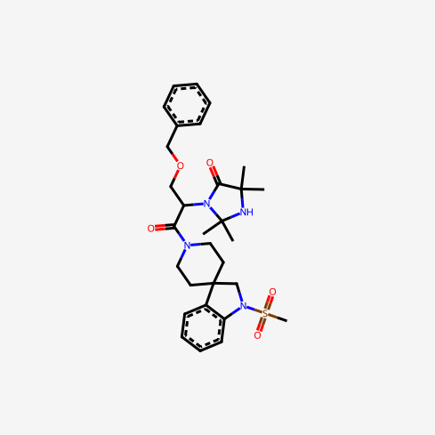 CC1(C)NC(C)(C)N(C(COCc2ccccc2)C(=O)N2CCC3(CC2)CN(S(C)(=O)=O)c2ccccc23)C1=O